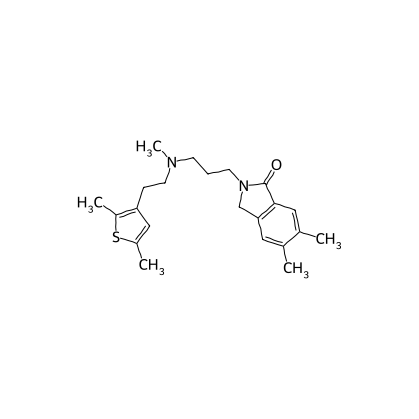 Cc1cc(CCN(C)CCCN2Cc3cc(C)c(C)cc3C2=O)c(C)s1